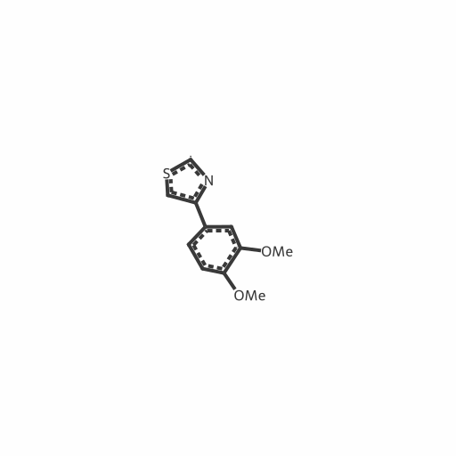 COc1ccc(-c2cs[c]n2)cc1OC